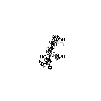 CC(C)(C)[C@H](c1cc(-c2cc(F)ccc2F)cn1Cc1ccccc1)N(CC[C@H](N)C(=O)N[C@H](CNC(=O)CNC(=O)C(CC(=O)O)SC[C@H](N)C(=O)O)C(=O)O)C(=O)CO.O=C(O)C(F)(F)F